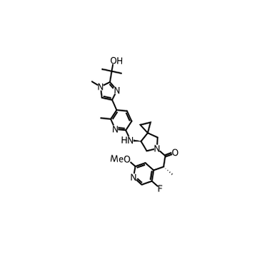 COc1cc([C@@H](C)C(=O)N2C[C@@H](Nc3ccc(-c4cn(C)c(C(C)(C)O)n4)c(C)n3)C3(CC3)C2)c(F)cn1